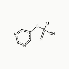 OP(=S)(Cl)Oc1cncnc1